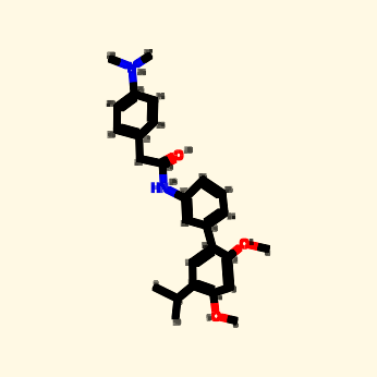 COc1cc(OC)c(C(C)C)cc1-c1cccc(NC(=O)Cc2ccc(N(C)C)cc2)c1